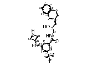 O=C(NC[C@H](O)CN1CCc2ccccc2C1)c1cc(NC2CNC2)nc(C(F)(F)F)n1